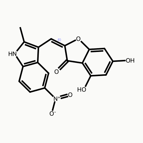 Cc1[nH]c2ccc([N+](=O)[O-])cc2c1/C=C1/Oc2cc(O)cc(O)c2C1=O